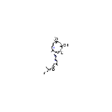 CCC[C@@H](C)[C@H]1O[C@@H]1C[C@H](C)/C=C/C=C(\C)[C@H]1OC(=O)C[C@H](O)CC[C@@](C)(OC)C/C=C/[C@@H]1C